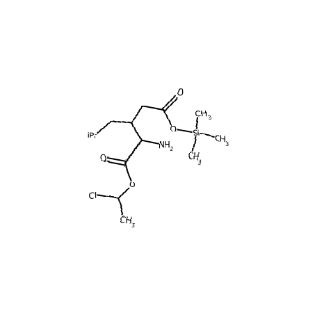 CC(C)CC(CC(=O)O[Si](C)(C)C)C(N)C(=O)OC(C)Cl